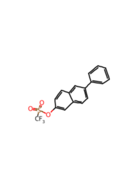 O=S(=O)(Oc1ccc2cc(-c3ccccc3)ccc2c1)C(F)(F)F